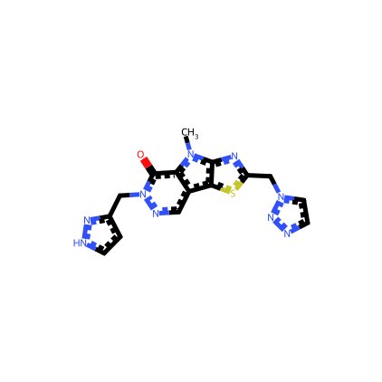 Cn1c2nc(Cn3ccnn3)sc2c2cnn(Cc3cc[nH]n3)c(=O)c21